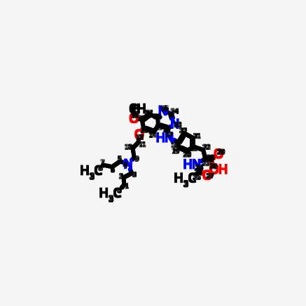 CCCCN(CCCC)CCCOc1cc2c(Nc3ccc(CC(NC(C)=O)C(=O)O)cc3)ncnc2cc1OC